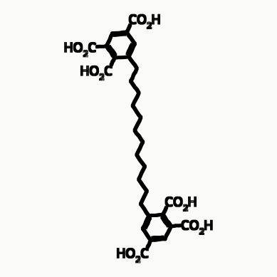 O=C(O)c1cc(CCCCCCCCCCCCc2cc(C(=O)O)cc(C(=O)O)c2C(=O)O)c(C(=O)O)c(C(=O)O)c1